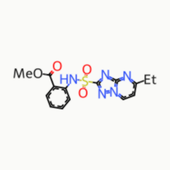 CCc1ccn2nc(S(=O)(=O)Nc3ccccc3C(=O)OC)nc2n1